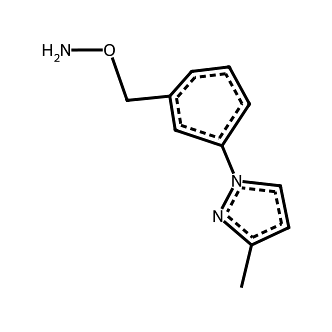 Cc1ccn(-c2cccc(CON)c2)n1